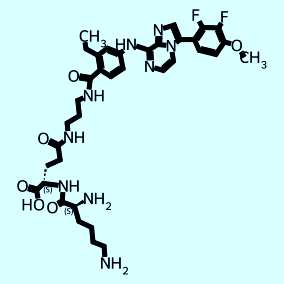 CCc1cc(Nc2nccn3c(-c4ccc(OC)c(F)c4F)cnc23)ccc1C(=O)NCCCNC(=O)CC[C@H](NC(=O)[C@@H](N)CCCCN)C(=O)O